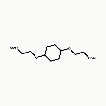 COCCOC1CCC(OCCOC)CC1